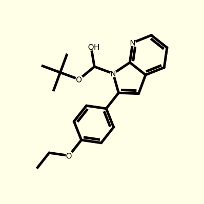 CCOc1ccc(-c2cc3cccnc3n2C(O)OC(C)(C)C)cc1